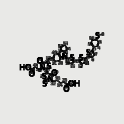 CSc1ccc(-c2ccc(-c3ccc(-c4ccc(N5c6ccc(/C=c7\s/c(=C8/SC(=S)N(CCCCC(=O)O)C8=O)n(CCC(=O)O)c7=O)cc6C6CCCC65)s4)s3)s2)cc1